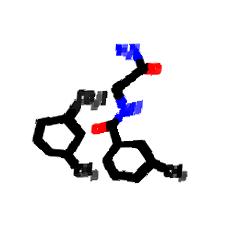 CC1CCCC(C(=O)NCC(N)=O)C1.CC1CCCC(C(=O)O)C1